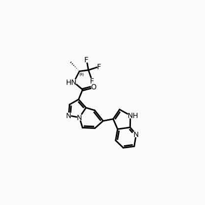 C[C@@H](NC(=O)c1cnn2ccc(-c3c[nH]c4ncccc34)cc12)C(F)(F)F